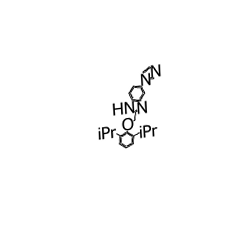 CC(C)c1cccc(C(C)C)c1OCc1nc2cc(-n3ccnc3)ccc2[nH]1